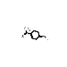 C=C1CC=C(C(=C)C)CC1